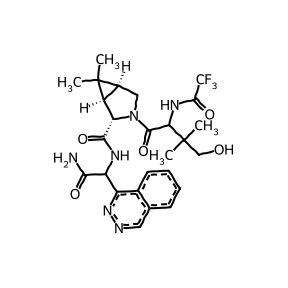 CC(C)(CO)C(NC(=O)C(F)(F)F)C(=O)N1C[C@H]2[C@@H]([C@H]1C(=O)NC(C(N)=O)c1nncc3ccccc13)C2(C)C